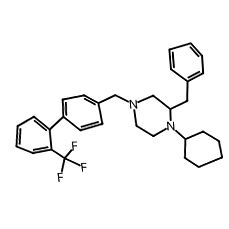 FC(F)(F)c1ccccc1-c1ccc(CN2CCN(C3CCCCC3)C(Cc3ccccc3)C2)cc1